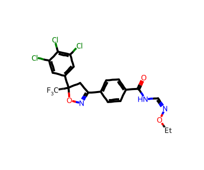 CCO/N=C\NC(=O)c1ccc(C2=NOC(c3cc(Cl)c(Cl)c(Cl)c3)(C(F)(F)F)C2)cc1